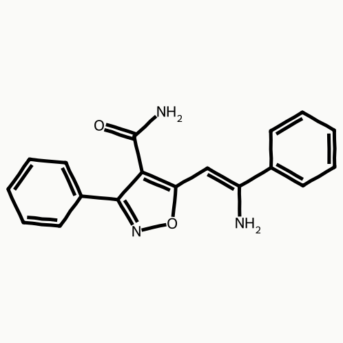 NC(=O)c1c(-c2ccccc2)noc1C=C(N)c1ccccc1